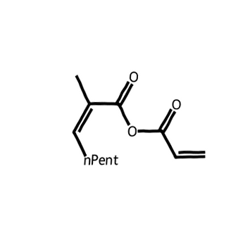 C=CC(=O)OC(=O)C(C)=CCCCCC